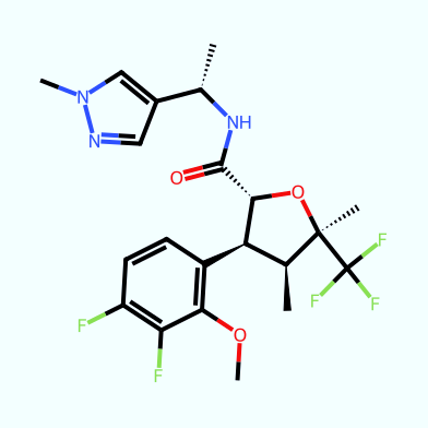 COc1c([C@H]2[C@H](C(=O)N[C@@H](C)c3cnn(C)c3)O[C@@](C)(C(F)(F)F)[C@H]2C)ccc(F)c1F